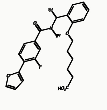 [2H]C(c1ccccc1OCCCCCC(=O)O)N(C(=O)c1ccc(-c2ccco2)c(F)c1)C(C)C